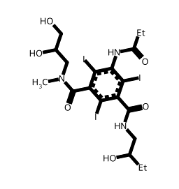 CCC(=O)Nc1c(I)c(C(=O)NCC(O)CC)c(I)c(C(=O)N(C)CC(O)CO)c1I